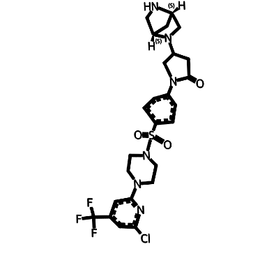 O=C1CC(N2C[C@@H]3C[C@H]2CN3)CN1c1ccc(S(=O)(=O)N2CCN(c3cc(C(F)(F)F)cc(Cl)n3)CC2)cc1